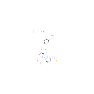 C=CCn1c(=O)c2cnc(Nc3cc4c(c(N5CCC5)c3)CC(N(C)C)CC4)nc2n1-c1cccc(N=S(C)(C)=O)n1